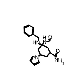 NC(=O)C1CC(n2cccc2)CC(NC=O)(NCc2ccccc2)C1